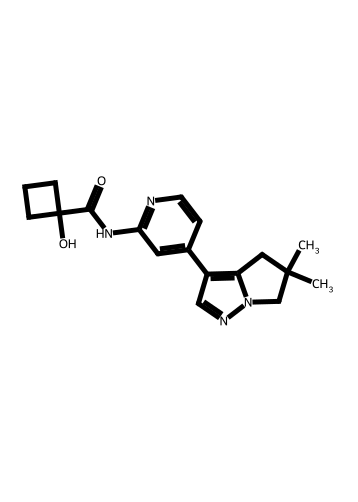 CC1(C)Cc2c(-c3ccnc(NC(=O)C4(O)CCC4)c3)cnn2C1